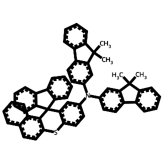 CC1(C)c2ccccc2-c2ccc(N(c3ccc4c(c3)C(C)(C)c3ccccc3-4)c3ccc4c(c3)C3(c5ccccc5-c5ccccc53)c3c(ccc5ccccc35)S4)cc21